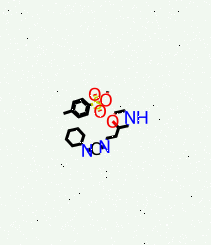 C(=NCCC1CNCCO1)=NC1CCCCC1.COS(=O)(=O)c1ccc(C)cc1